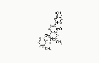 Cc1cn(-c2ccc3n(c2=O)C[C@@H](C)N(Cc2ccccc2C)C3=O)cn1